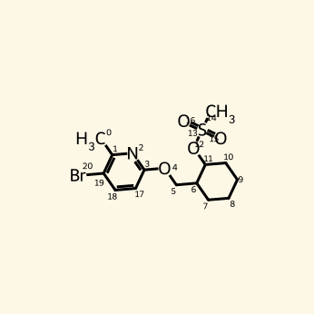 Cc1nc(OCC2CCCCC2OS(C)(=O)=O)ccc1Br